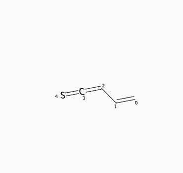 C=CC=C=S